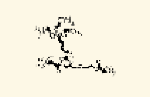 C=CC(=O)OCCOCC(COC(=O)C(=C)C)OC(=O)NCCC[Si](OCC)(OCC)OCC